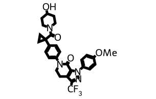 COc1ccc(-n2nc(C(F)(F)F)c3c2C(=O)N(c2ccc(C4(C(=O)N5CCC(O)CC5)CC4)cc2)CC3)cc1